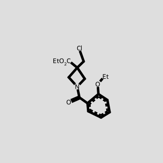 CCOC(=O)C1(CCl)CN(C(=O)c2ccccc2OCC)C1